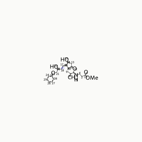 COC(=O)CCNCC(C)C[C@H]1C(=O)C[C@@H](O)[C@@H]1/C=C/[C@@H](O)COc1ccccc1